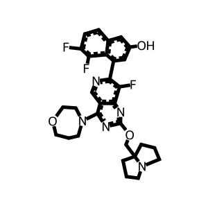 Oc1cc(-c2ncc3c(N4CCCOCC4)nc(OCC45CCCN4CCC5)nc3c2F)c2c(F)c(F)ccc2c1